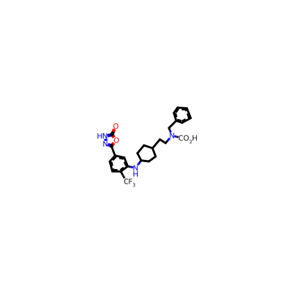 O=C(O)N(CCC1CCC(Nc2cc(-c3n[nH]c(=O)o3)ccc2C(F)(F)F)CC1)Cc1ccccc1